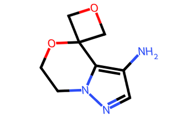 Nc1cnn2c1C1(COC1)OCC2